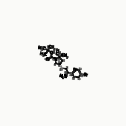 CC(C)(C)OC(=O)N1C[C@@H](CCC(N)c2ccc(Br)cn2)CC1(C)C